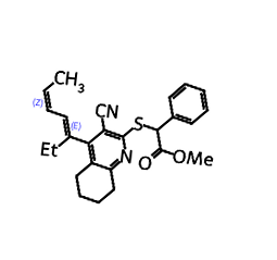 C/C=C\C=C(/CC)c1c(C#N)c(SC(C(=O)OC)c2ccccc2)nc2c1CCCC2